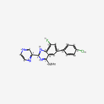 CNc1nc(-c2cnccn2)nc2c(F)cc(-c3ccc(Cl)cc3)cc12